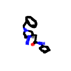 O=C(C[C@@H]1CN(Cc2ccccc2)CCN1)Nc1ccccc1